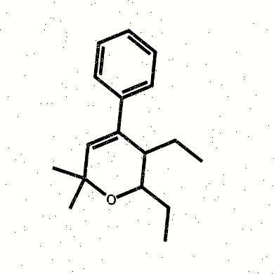 CCC1OC(C)(C)C=C(c2ccccc2)C1CC